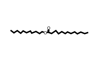 CCCCCCCCCCCCC(=O)OCCCCCCCCCCC